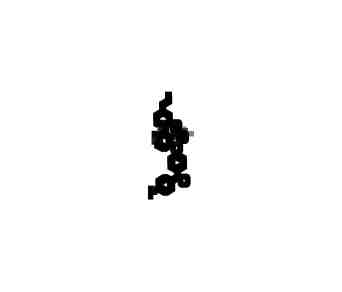 CCCC1CCN(c2nccc(Oc3ccc(C(=O)c4ccc(F)cc4)cc3)c2[N+](=O)[O-])CC1